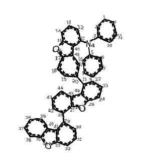 c1ccc(N(c2ccccc2)c2cccc3oc4ccc(-c5cccc6oc7c(-c8cccc9oc%10ccccc%10c89)cccc7c56)cc4c23)cc1